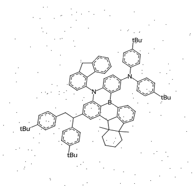 CC(C)(C)c1ccc(CC(c2ccc(C(C)(C)C)cc2)c2cc3c4c(c2)N(c2cccc5c2-c2ccccc2C5)c2ccc(N(c5ccc(C(C)(C)C)cc5)c5ccc(C(C)(C)C)cc5)cc2B4c2cccc4c2C3C2(C)CCCCC42C)cc1